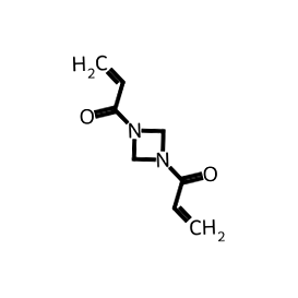 C=CC(=O)N1CN(C(=O)C=C)C1